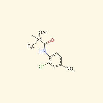 CC(=O)O[C@](C)(C(=O)Nc1ccc([N+](=O)[O-])cc1Cl)C(F)(F)F